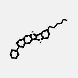 CCCCCCc1ccc2sc3c4cc5cc(-c6ccccc6)ccc5cc4sc3c2c1